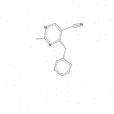 Cc1ncc(C#N)c(Cc2ccccc2)n1